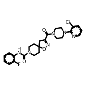 O=C(Nc1ccccc1F)N1CCC2(CC1)CC(C(=O)N1CCN(c3ncccc3Cl)CC1)=NO2